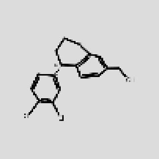 OCc1ccc2c(c1)[C]CC[C@H]2c1ccc(Cl)c(Cl)c1